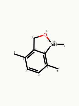 Cc1ccc(C)c2c1CO[SiH]2C